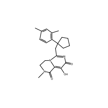 Cc1ccc(C2(Cc3nc(=O)c(O)c4n3CCN(C)C4=O)CCCC2)c(C)c1